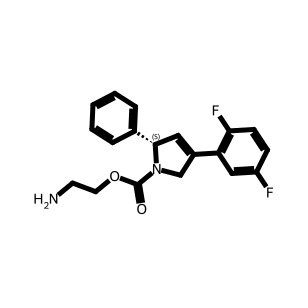 NCCOC(=O)N1CC(c2cc(F)ccc2F)=C[C@H]1c1ccccc1